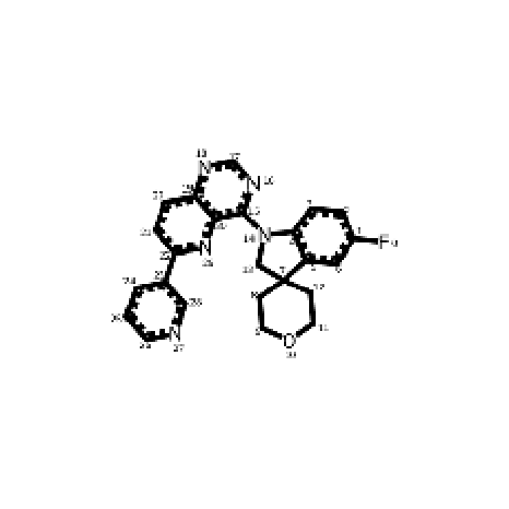 Fc1ccc2c(c1)C1(CCOCC1)CN2c1ncnc2ccc(-c3cccnc3)nc12